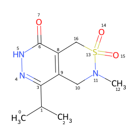 CC(C)c1n[nH]c(=O)c2c1CN(C)S(=O)(=O)C2